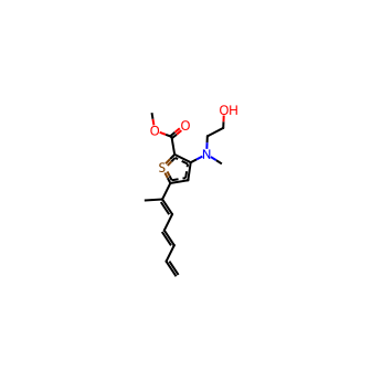 C=CC=CC=C(C)c1cc(N(C)CCO)c(C(=O)OC)s1